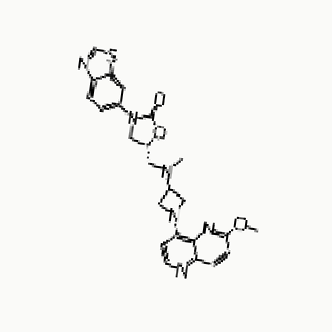 COc1ccc2nccc(N3CC(N(C)C[C@@H]4CN(c5ccc6ncsc6c5)C(=O)O4)C3)c2n1